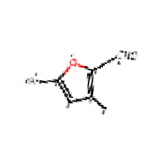 CCCc1cc(C)c(C=O)o1